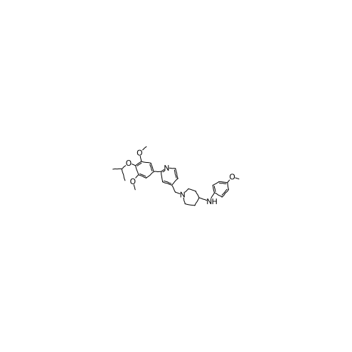 COc1ccc(NC2CCN(Cc3ccnc(-c4cc(OC)c(OC(C)C)c(OC)c4)c3)CC2)cc1